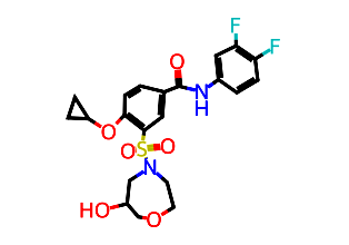 O=C(Nc1ccc(F)c(F)c1)c1ccc(OC2CC2)c(S(=O)(=O)N2CCOCC(O)C2)c1